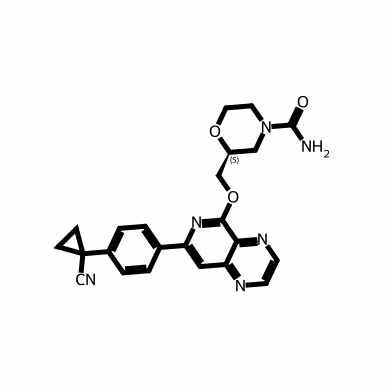 N#CC1(c2ccc(-c3cc4nccnc4c(OC[C@@H]4CN(C(N)=O)CCO4)n3)cc2)CC1